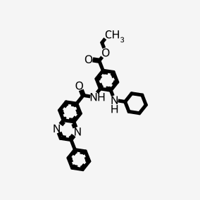 CCOC(=O)c1ccc(NC2CCCCC2)c(NC(=O)c2ccc3ncc(-c4ccccc4)nc3c2)c1